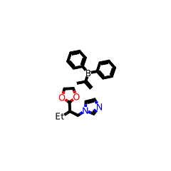 C=C(C)B(c1ccccc1)c1ccccc1.CCC(Cn1ccnc1)C1OCCO1